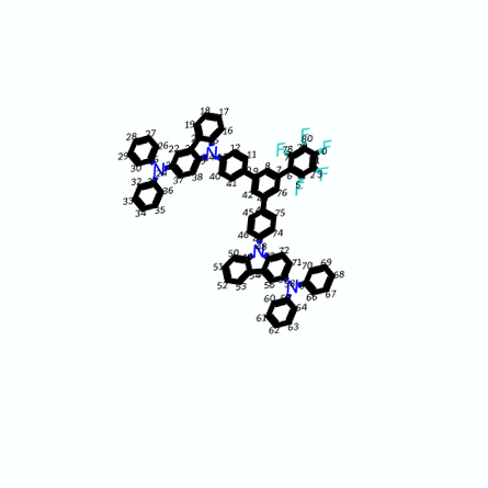 Fc1c(F)c(F)c(-c2cc(-c3ccc(-n4c5ccccc5c5cc(N(c6ccccc6)c6ccccc6)ccc54)cc3)cc(-c3ccc(-n4c5ccccc5c5cc(N(c6ccccc6)c6ccccc6)ccc54)cc3)c2)c(F)c1F